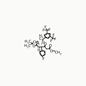 CCOC(=O)CC(=O)[C@](CO[C@H](C)c1cc(C(F)(F)F)cc(C(F)(F)F)c1)(NC(=O)OC(C)(C)C)c1ccc(F)cc1